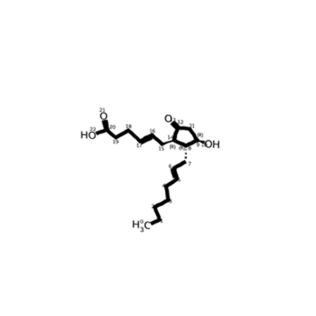 CCCCCC=CC[C@H]1[C@H](O)CC(=O)[C@@H]1CC=CCCC(=O)O